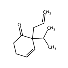 C=CCC1(C(C)C)C=CCCC1=O